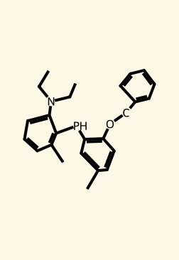 CCN(CC)c1cccc(C)c1Pc1cc(C)ccc1OCc1ccccc1